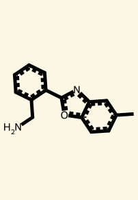 Cc1ccc2oc(-c3ccccc3CN)nc2c1